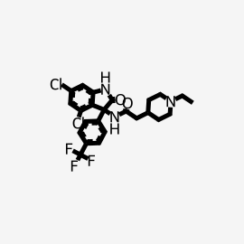 CCN1CCC(CC(=O)NC2(c3ccc(C(F)(F)F)cc3)C(=O)Nc3cc(Cl)cc(Cl)c32)CC1